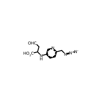 [N-]=[N+]=NCc1ccc(NC(CC=O)C(=O)O)cn1